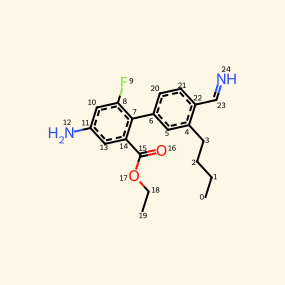 CCCCc1cc(-c2c(F)cc(N)cc2C(=O)OCC)ccc1C=N